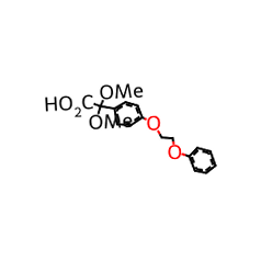 COC(OC)(C(=O)O)c1ccc(OCCOc2ccccc2)cc1